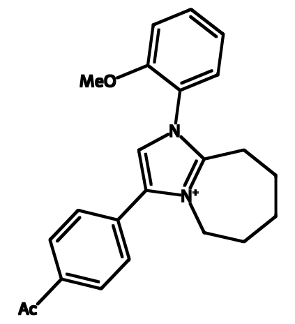 COc1ccccc1-n1cc(-c2ccc(C(C)=O)cc2)[n+]2c1CCCCC2